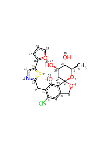 C[C@H]1O[C@]2(OCc3cc(Cl)c(Cc4ncc(-c5ccco5)s4)cc32)[C@H](O)[C@@H](O)[C@@H]1O